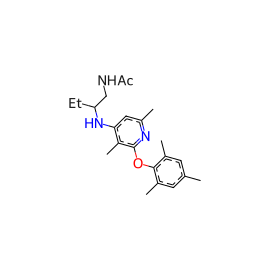 CCC(CNC(C)=O)Nc1cc(C)nc(Oc2c(C)cc(C)cc2C)c1C